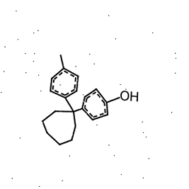 Cc1ccc(C2(c3ccc(O)cc3)CCCCCC2)cc1